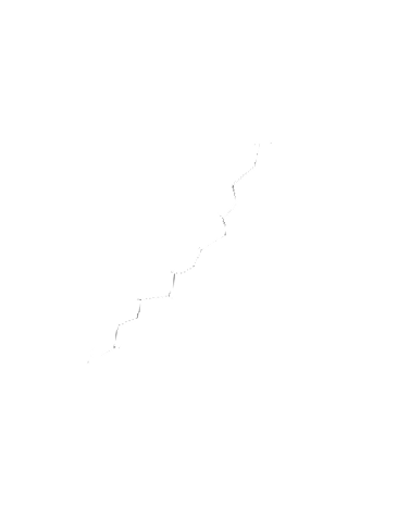 CCCCCCCCCCCCC[CH2][SbH4]